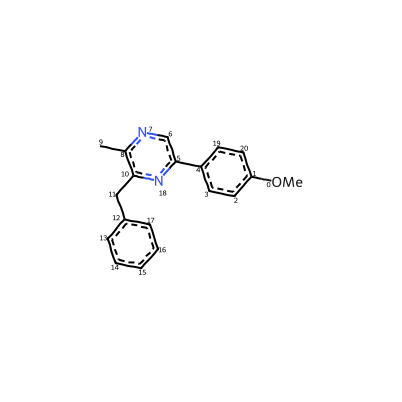 COc1ccc(-c2cnc(C)c(Cc3ccccc3)n2)cc1